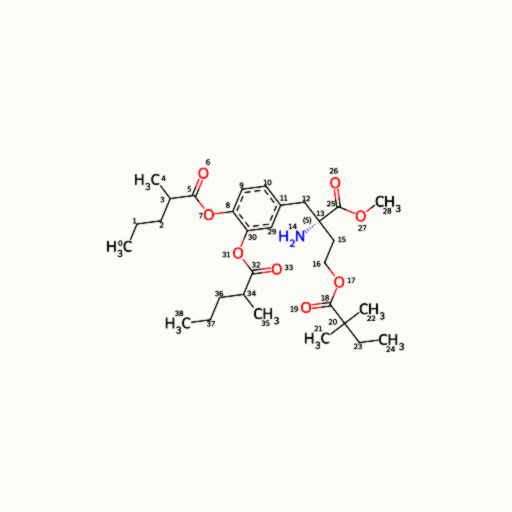 CCCC(C)C(=O)Oc1ccc(C[C@](N)(CCOC(=O)C(C)(C)CC)C(=O)OC)cc1OC(=O)C(C)CCC